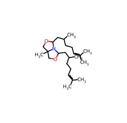 CC(C)=CCCC(C)CC1OCC2(C)COC(CC(C)CCC=C(C)C)N12